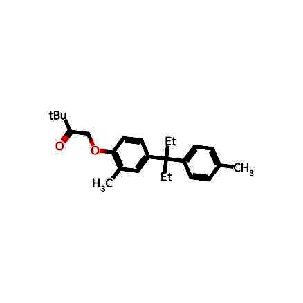 CCC(CC)(c1ccc(C)cc1)c1ccc(OCC(=O)C(C)(C)C)c(C)c1